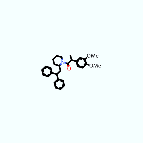 COc1ccc(C(C)C(=O)N2CCCCC2CC(c2ccccc2)c2ccccc2)cc1OC